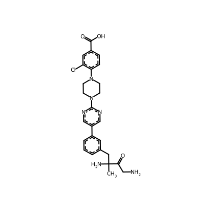 CC(N)(Cc1cccc(-c2cnc(N3CCN(c4ccc(C(=O)O)cc4Cl)CC3)nc2)c1)C(=O)CN